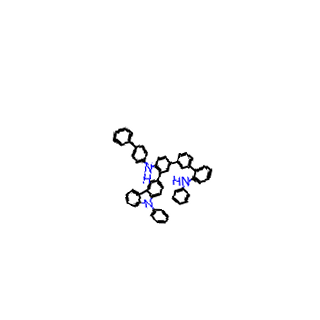 c1ccc(Nc2ccccc2-c2cccc(-c3ccc(Nc4ccc(-c5ccccc5)cc4)c(-c4ccc5c(c4)c4ccccc4n5-c4ccccc4)c3)c2)cc1